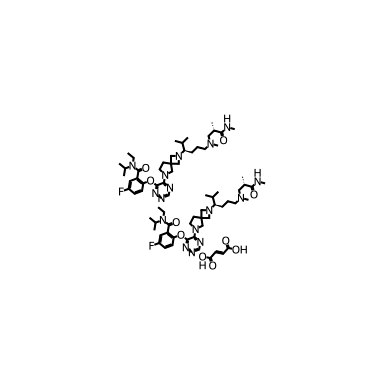 CCN(C(=O)c1cc(F)ccc1Oc1nncnc1N1CCC2(C1)CN([C@H](CCCN(C)C[C@H](C)C(=O)NC)C(C)C)C2)C(C)C.CCN(C(=O)c1cc(F)ccc1Oc1nncnc1N1CCC2(C1)CN([C@H](CCCN(C)C[C@H](C)C(=O)NC)C(C)C)C2)C(C)C.O=C(O)/C=C/C(=O)O